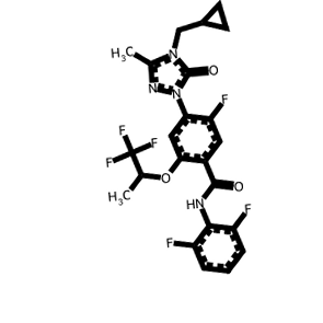 Cc1nn(-c2cc(OC(C)C(F)(F)F)c(C(=O)Nc3c(F)cccc3F)cc2F)c(=O)n1CC1CC1